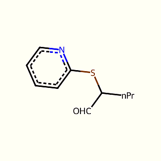 C[CH]CC(C=O)Sc1ccccn1